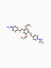 CNc1ccc(C=Cc2cc(OC)c(C=Cc3ccc(N)cc3)cc2OC)cc1